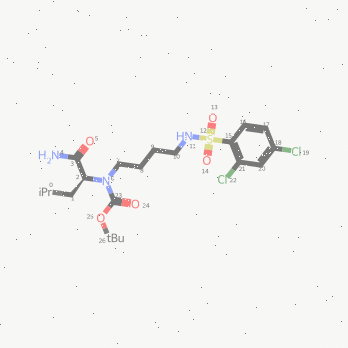 CC(C)C[C@@H](C(N)=O)N(CCCCNS(=O)(=O)c1ccc(Cl)cc1Cl)C(=O)OC(C)(C)C